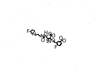 COC(=O)c1ccc(F)c(COc2nsc(NC(=O)NCCCN3CC[C@H](F)C3)c2C(=O)OC)c1